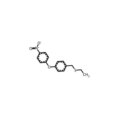 CCSCc1ccc(Oc2ccc([N+](=O)[O-])cc2)cc1